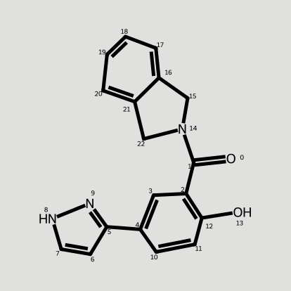 O=C(c1cc(-c2cc[nH]n2)ccc1O)N1Cc2ccccc2C1